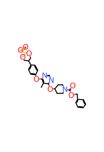 Cc1c(Oc2ccc(C3COS(=O)(=O)OC3)cc2)ncnc1OC1CCN(C(=O)OCc2ccccc2)CC1